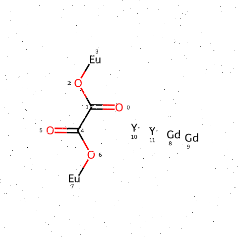 O=C([O][Eu])C(=O)[O][Eu].[Gd].[Gd].[Y].[Y]